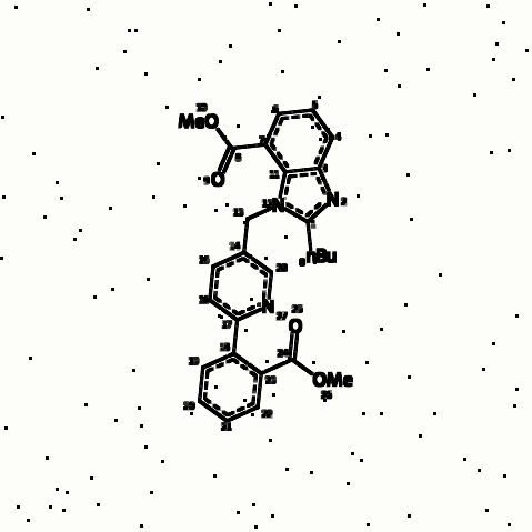 CCCCc1nc2cccc(C(=O)OC)c2n1Cc1ccc(-c2ccccc2C(=O)OC)nc1